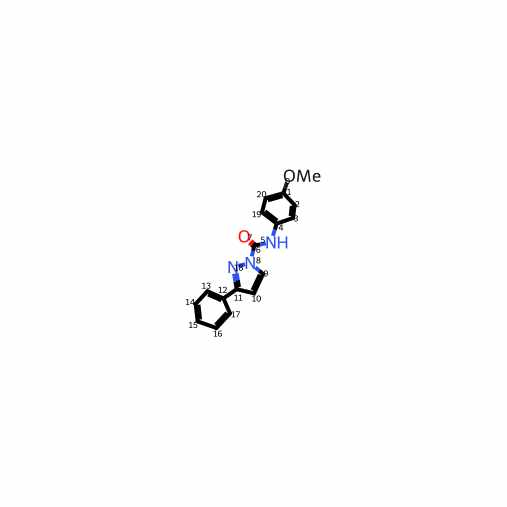 COc1ccc(NC(=O)n2ccc(-c3ccccc3)n2)cc1